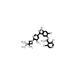 C[C@@H](Oc1cc2c(-c3cnc(N4CC(C)(N(C)C)C4)c(C(F)(F)F)c3)n[nH]c2cc1Cl)c1c(Cl)cncc1Cl